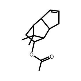 CC(=O)OC1CC2C3C=CCC3C1C2(C)C